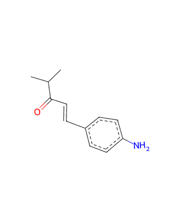 CC(C)C(=O)/C=C/c1ccc(N)cc1